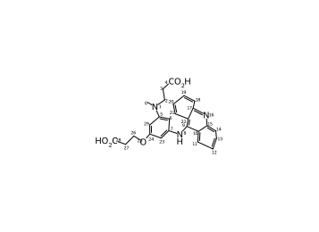 CN(CCC(=O)O)c1cc(Nc2c3ccccc3nc3ccccc23)cc(OCCC(=O)O)c1